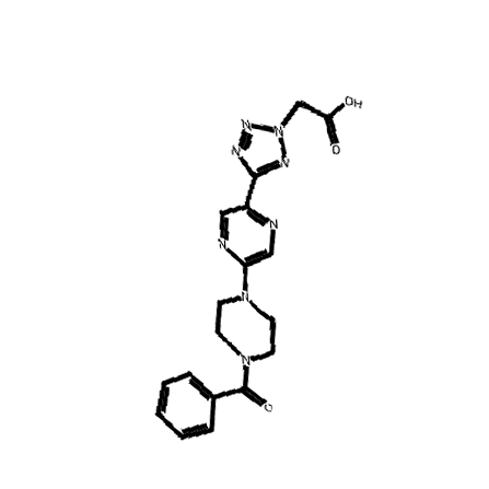 O=C(O)Cn1nnc(-c2cnc(N3CCN(C(=O)c4ccccc4)CC3)cn2)n1